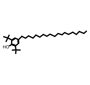 CCCCCCCCCCCCCCCCCC[CH]c1cc(C(C)(C)C)c(O)c(C(C)(C)C)c1